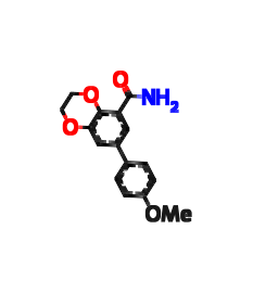 COc1ccc(-c2cc3c(c(C(N)=O)c2)OCCO3)cc1